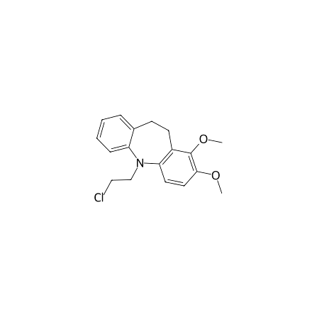 COc1ccc2c(c1OC)CCc1ccccc1N2CCCl